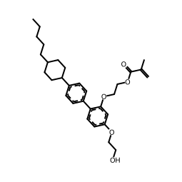 C=C(C)C(=O)OCCOc1cc(OCCO)ccc1-c1ccc(C2CCC(CCCCC)CC2)cc1